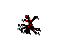 CCCCCCCCCC(CCCCCCCC)(CCCCCCCC)OC(=O)c1ccc(C(=O)OC(CCCCCCCC)(CCCCCCCC)CCCCCCCCC)c(C(=O)OC(CCCCCCCC)(CCCCCCCC)CCCCCCCCC)c1